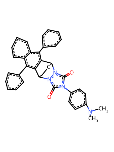 CN(C)c1ccc(-n2c(=O)n3n(c2=O)C2CCC3c3c2c(-c2ccccc2)c2ccccc2c3-c2ccccc2)cc1